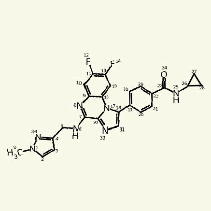 Cn1ccc(CNc2nc3cc(F)c(F)cc3n3c(-c4ccc(C(=O)NC5CC5)cc4)cnc23)n1